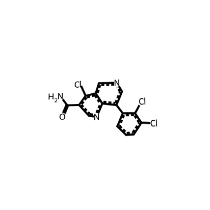 NC(=O)c1cnc2c(-c3cccc(Cl)c3Cl)cncc2c1Cl